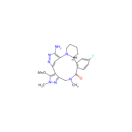 COc1c2c(nn1C)CN(C)C(=O)c1ccc(F)cc1[C@H]1CCCCN1c1cc-2nnc1N